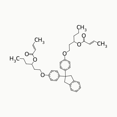 CC=CC(=O)OC(CCC)CCOc1ccc(C2(c3ccc(OCCC(CCC)OC(=O)C=CC)cc3)Cc3ccccc3C2)cc1